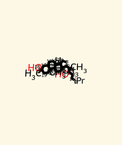 CC(C)CC[C@H](O)[C@@H](C)[C@H]1CC[C@H]2[C@@H]3CCC4C[C@@](C)(O)CC[C@]4(C)[C@H]3CC[C@]12C